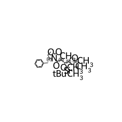 C[C@@H](C(=O)N1C(=O)OC[C@H]1Cc1ccccc1)C(O[Si](C)(C)C(C)(C)C)[C@H]1COC(C)(C)C1